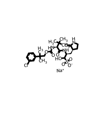 CC(C)(COC(=O)N[C@H](C(=O)N[C@@H](C[C@@H]1CCNC1=O)C(O)S(=O)(=O)[O-])C(C)(C)C)c1cccc(Cl)c1.[Na+]